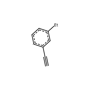 C#Cc1[c]ccc(CC)c1